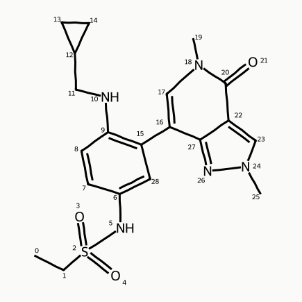 CCS(=O)(=O)Nc1ccc(NCC2CC2)c(-c2cn(C)c(=O)c3cn(C)nc23)c1